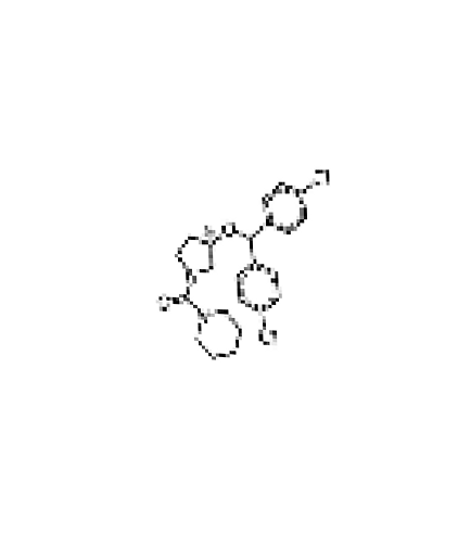 O=C(N1CCCCC1)N1CC[C@@H](OC(c2ccc(Cl)cc2)c2ccc(Cl)cc2)C1